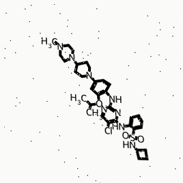 CC(C)Oc1cc(N2CCC(N3CCN(C)CC3)CC2)ccc1Nc1ncc(Cl)c(Nc2ccccc2S(=O)(=O)NC2CCC2)n1